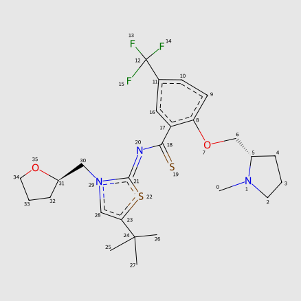 CN1CCC[C@H]1COc1ccc(C(F)(F)F)cc1C(=S)N=c1sc(C(C)(C)C)cn1C[C@H]1CCCO1